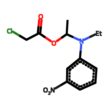 CCN(c1cccc([N+](=O)[O-])c1)C(C)OC(=O)CCl